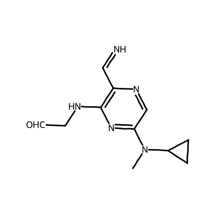 CN(c1cnc(C=N)c(NCC=O)n1)C1CC1